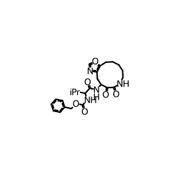 CC(C)C(NC(=O)OCc1ccccc1)C(=O)NC1Cc2ncoc2CCCCCNC(=O)C1=O